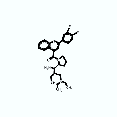 CCC(CN(CC)CC)C(N)[C@@H]1CCCN1C(=O)c1cc(-c2ccc(F)c(F)c2)nc2ccccc12